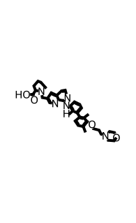 Cc1ccc(-c2cccc(Nc3nccc4cc(CN5CCCCC5C(=O)O)cnc34)c2C)c(C)c1OCCCN1CCOCC1